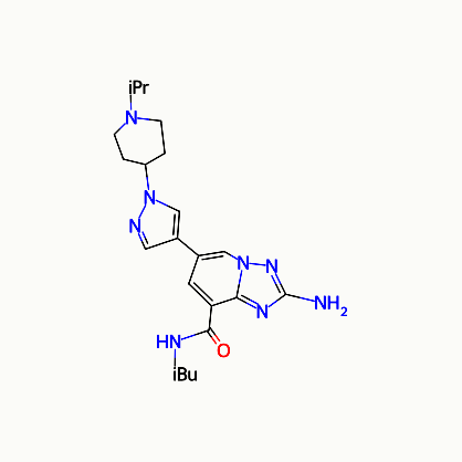 CCC(C)NC(=O)c1cc(-c2cnn(C3CCN(C(C)C)CC3)c2)cn2nc(N)nc12